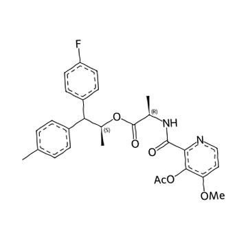 COc1ccnc(C(=O)N[C@H](C)C(=O)O[C@@H](C)C(c2ccc(C)cc2)c2ccc(F)cc2)c1OC(C)=O